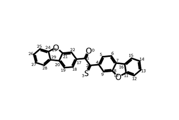 O=C(C(=S)c1ccc2c(c1)oc1ccccc12)c1ccc2c(c1)oc1ccccc12